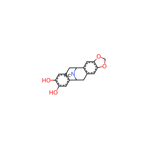 CC(=O)N1C2Cc3cc4c(cc3C1Cc1cc(O)c(O)cc12)OCO4